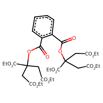 CCOC(=O)CC(CC(=O)OCC)(OC(=O)c1ccccc1C(=O)OC(CC(=O)OCC)(CC(=O)OCC)C(=O)OCC)C(=O)OCC